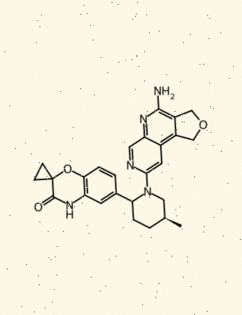 C[C@H]1CCC(c2ccc3c(c2)NC(=O)C2(CC2)O3)N(c2cc3c4c(c(N)nc3cn2)COC4)C1